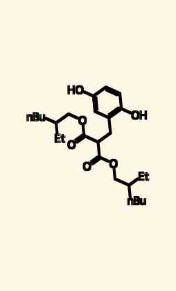 CCCCC(CC)COC(=O)C(Cc1cc(O)ccc1O)C(=O)OCC(CC)CCCC